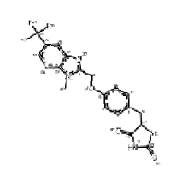 Cn1c(COc2ccc(CC3SC(=O)NC3=O)cc2)nc2cc(C(F)(F)F)cnc21